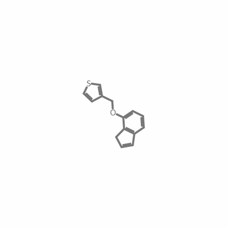 C1=Cc2cccc(OCc3ccsc3)c2C1